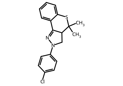 CC1(C)Sc2ccccc2C2=NN(c3ccc(Cl)cc3)CC21